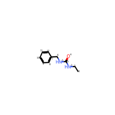 CCNC(=O)NCc1cc[c]cc1